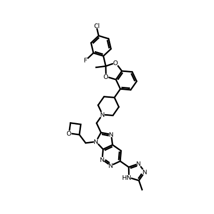 Cc1nnc(-c2cc3nc(CN4CCC(c5cccc6c5OC(C)(c5ccc(Cl)cc5F)O6)CC4)n(CC4CCO4)c3nn2)[nH]1